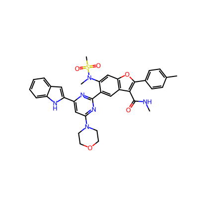 CNC(=O)c1c(-c2ccc(C)cc2)oc2cc(N(C)S(C)(=O)=O)c(-c3nc(-c4cc5ccccc5[nH]4)cc(N4CCOCC4)n3)cc12